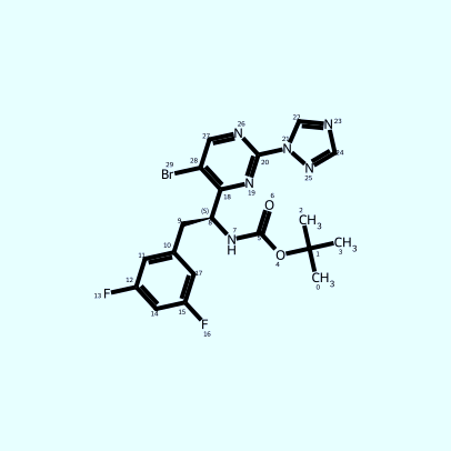 CC(C)(C)OC(=O)N[C@@H](Cc1cc(F)cc(F)c1)c1nc(-n2cncn2)ncc1Br